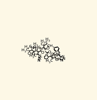 CC[C@H](C)[C@@H]([C@@H](CC(=O)N1CCCC1[C@H](OC)[C@@H](C)C(=O)N[C@@H](Cc1ccccc1)c1nnn[nH]1)OC)N(C)C(=O)[C@@H](NC(=O)C(C(C)C)N(C)C)[C@H](C)N=[N+]=[N-]